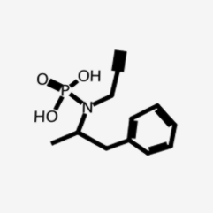 C#CCN(C(C)Cc1ccccc1)P(=O)(O)O